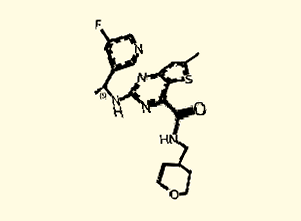 Cc1cc2nc(N[C@@H](C)c3cncc(F)c3)nc(C(=O)NCC3CCOCC3)c2s1